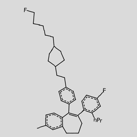 CCCc1cc(F)ccc1C1=C(c2ccc(CCC3CCC(CCCCCF)CC3)cc2)c2ccc(C)cc2CCC1